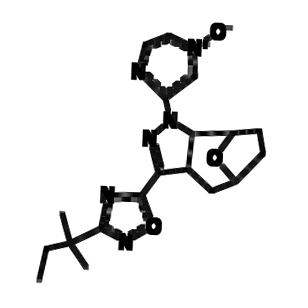 CCC(C)(C)c1noc(C2=NN(c3c[n+]([O-])ccn3)C3C4CCC(CC23)O4)n1